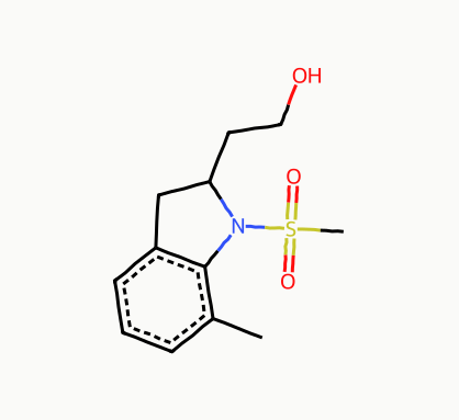 Cc1cccc2c1N(S(C)(=O)=O)C(CCO)C2